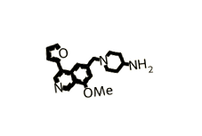 COc1cc(CN2CCC(N)CC2)cc2c(-c3ccco3)cncc12